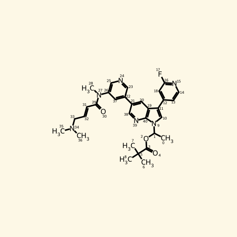 CC(OC(=O)C(C)(C)C)n1cc(-c2ccnc(F)c2)c2cc(-c3cncc(N(C)C(=O)/C=C/CN(C)C)c3)cnc21